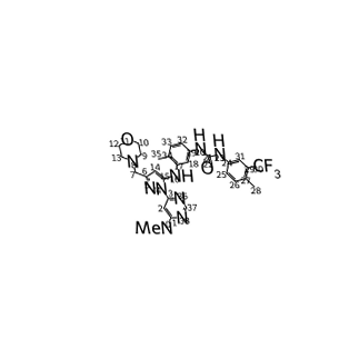 CNc1cc(-n2nc(CN3CCOCC3)cc2Nc2cc(NC(=O)Nc3ccc(C)c(C(F)(F)F)c3)ccc2C)ncn1